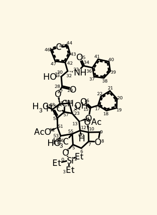 CC[Si](CC)(CC)OC1CC2OC[C@@]2(OC(C)=O)[C@H]2[C@H](OC(=O)c3ccccc3)[C@]3(O)C[C@H](OC(=O)[C@H](O)[C@@H](NC(=O)c4ccccc4)c4ccccc4)C(C)=C([C@H](OC(C)=O)[C@H](O)C12C)C3(C)C